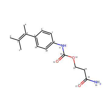 CC(C)=C(C)c1ccc(NC(=O)OCCC(N)=O)cc1